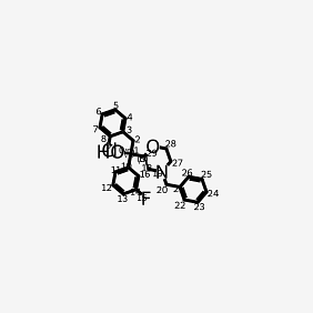 O[C@](Cc1ccccc1Cl)(c1cccc(F)c1)[C@@H]1CN(Cc2ccccc2)CCO1